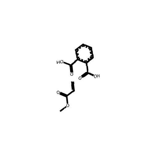 C=CC(=O)OC.O=C(O)c1ccccc1C(=O)O